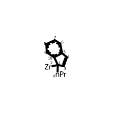 CCC[C]1([Zr])C=Cc2ccccc21